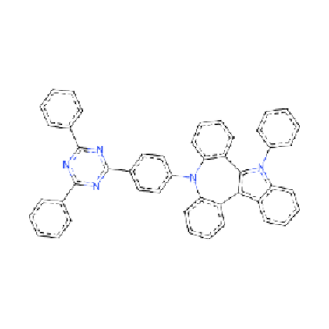 c1ccc(-c2nc(-c3ccccc3)nc(-c3ccc(N4c5ccccc5-c5c(n(-c6ccccc6)c6ccccc56)-c5ccccc54)cc3)n2)cc1